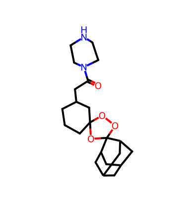 O=C(CC1CCCC2(C1)OOC1(O2)C2CC3CC(C2)CC1C3)N1CCNCC1